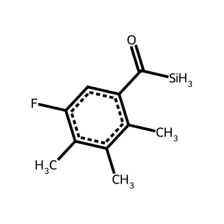 Cc1c(F)cc(C(=O)[SiH3])c(C)c1C